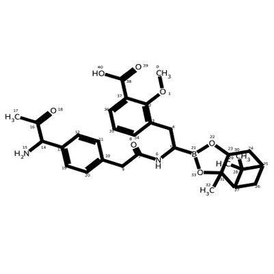 COc1c(CC(NC(=O)Cc2ccc(C(N)C(C)=O)cc2)B2OC3CC4CC(C4(C)C)C3(C)O2)cccc1C(=O)O